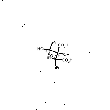 CC(C)C(C(=O)O)(C(C)C)[C@](O)(C(=O)O)[C@](O)(C(=O)O)C(C)C